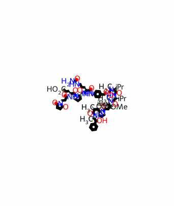 CC[C@H](C)[C@@H]([C@@H](CC(=O)N1CCC[C@H]1[C@H](OC)[C@@H](C)C(=O)N[C@H](C)[C@@H](O)c1ccccc1)OC)N(C)C(=O)[C@@H](NC(=O)[C@H](C(C)C)N(C)C(=O)OCc1ccc(NC(=O)[C@H](CCCNC(N)=O)NC(=O)[C@@H]2CCCN2C(=O)[C@H](CCC(=O)O)NC(=O)CCN2C(=O)C=CC2=O)cc1)C(C)C